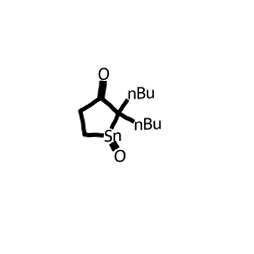 CCCC[C]1(CCCC)C(=O)C[CH2][Sn]1=[O]